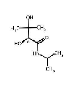 CC(C)NC(=O)[C@@H](O)C(C)(C)O